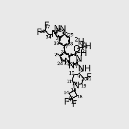 [2H]C([2H])([2H])Oc1nc(N[C@H]2CCN(C3CC(F)(F)C3)C[C@H]2F)nn2ccc(-c3ccc4nnn(CC(F)F)c4c3)c12